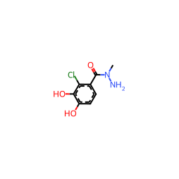 CN(N)C(=O)c1ccc(O)c(O)c1Cl